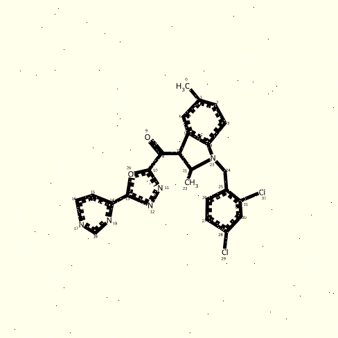 Cc1ccc2c(c1)C(C(=O)c1nnc(-c3ccncn3)o1)C(C)N2Cc1ccc(Cl)cc1Cl